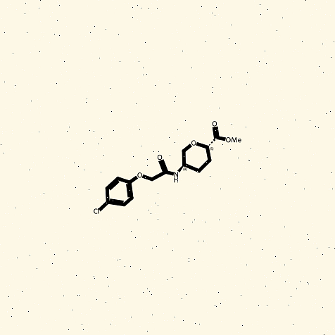 COC(=O)[C@@H]1CC[C@@H](NC(=O)COc2ccc(Cl)cc2)CO1